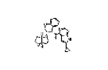 c1ccc2c(c1)OC[C@H](N1CC[C@@H]3OCC[C@@H]31)[C@H]2Nc1ncnc2[nH]c(C3CC3)cc12